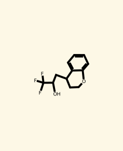 OC(CC1CCOc2ccccc21)C(F)(F)F